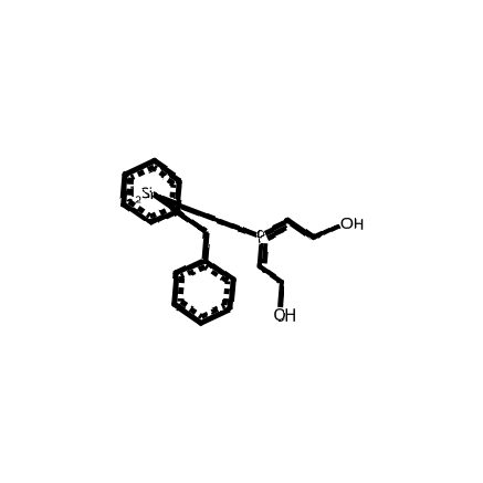 OC/C=P(=C\CO)/[SiH2]C(c1ccccc1)c1ccccc1